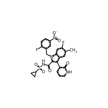 Cc1cc2c(-c3ccc[nH]c3=O)c(C(=O)NS(=O)(=O)C3CC3)n(Cc3cc([N+](=O)[O-])ccc3F)c2cc1F